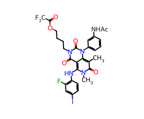 CC(=O)Nc1cccc(-n2c(=O)n(CCCCOC(=O)C(F)(F)F)c(=O)c3c(Nc4ccc(I)cc4F)n(C)c(=O)c(C)c32)c1